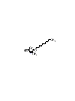 CCCCCCCCCCOC(=O)/C(C)=C\C(=O)O